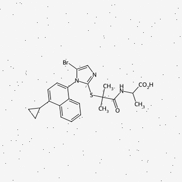 CC(NC(=O)C(C)(C)Sc1ncc(Br)n1-c1ccc(C2CC2)c2ccccc12)C(=O)O